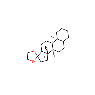 C[C@]12CCCCC1CC[C@@H]1C2CC[C@@]2(C)[C@H]1CCC21OCCO1